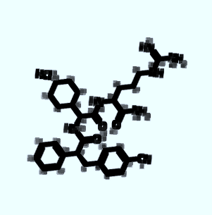 Cl.N#Cc1ccc(C[C@H](C(=O)N[C@H](C(=O)NC(CCCNC(=N)N)C(N)=O)C2CCCCC2)c2ccccc2)cc1